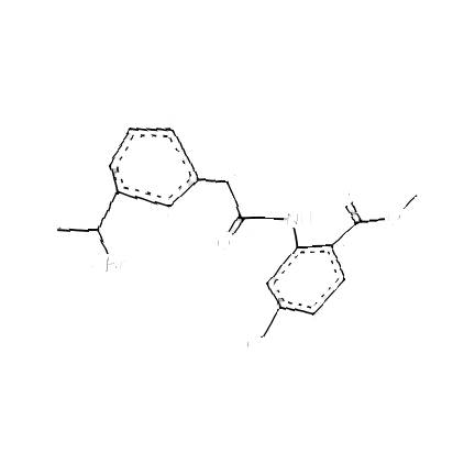 COC(=O)c1ccc(Cl)cc1NC(=O)Cc1cccc(C(C)Br)c1